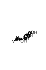 CC(C)([C@@H](O)C[C@H]1CC[C@H]2[C@@H]3CC[C@@H]4C[C@](C)(O)CC[C@@H]4[C@H]3CC[C@]12C)n1cc(C#N)cn1